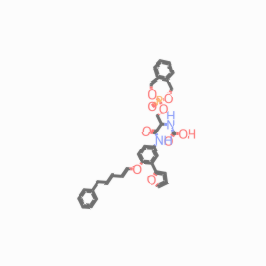 O=C(O)NC(COP1(=O)OCc2ccccc2CO1)C(=O)Nc1ccc(OCCCCCc2ccccc2)c(-c2ccco2)c1